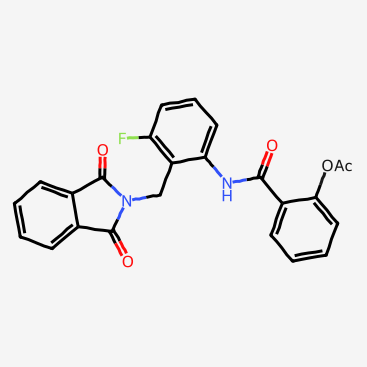 CC(=O)Oc1ccccc1C(=O)Nc1cccc(F)c1CN1C(=O)c2ccccc2C1=O